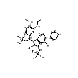 CCOc1nc([C@H](CS(C)(=O)=O)n2c(=O)n(CC(F)(F)F)c3c(C)c(-c4ccccc4)cnc32)ccc1OC